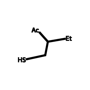 CCC(CS)C(C)=O